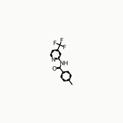 Cc1ccc(C(=O)Nc2cc(C(F)(F)F)ccn2)cc1